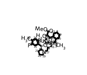 COC(=O)C(C)Cc1ccccc1[C@@H](C)OC[C@@H](CN1CCC[C@H]1Cc1ccc(C)c(F)c1)O[Si](C)(C)C(C)(C)C